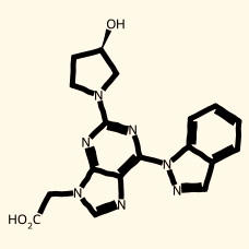 O=C(O)Cn1cnc2c(-n3ncc4ccccc43)nc(N3CC[C@@H](O)C3)nc21